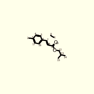 CC.Cc1ccc(C=CC(=O)OCC(C)C)cc1